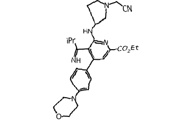 CCOC(=O)c1cc(-c2ccc(N3CCOCC3)cc2)c(C(=N)C(C)C)c(NC2CCN(CC#N)C2)n1